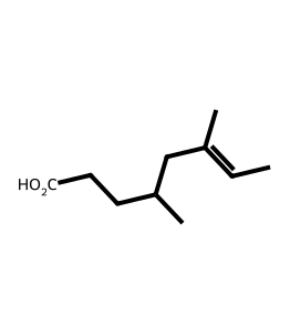 CC=C(C)CC(C)CCC(=O)O